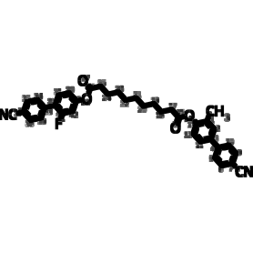 Cc1cc(-c2ccc(C#N)cc2)ccc1OC(=O)CCCCCCCCCC(=O)Oc1ccc(-c2ccc(C#N)cc2)c(F)c1